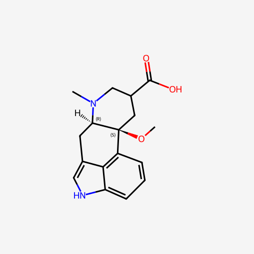 CO[C@]12CC(C(=O)O)CN(C)[C@@H]1Cc1c[nH]c3cccc2c13